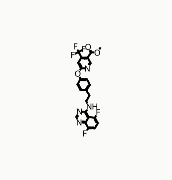 COC(=O)c1cnc(Oc2ccc(CCNc3ncnc4c(F)ccc(F)c34)cc2)cc1C(F)(F)F